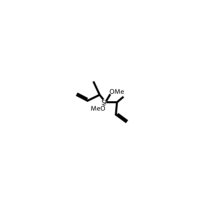 C=CC(C)[Si](OC)(OC)C(C)C=C